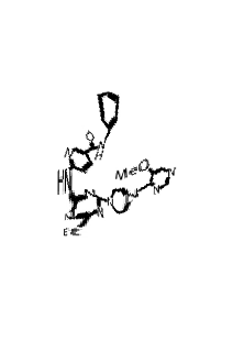 CCc1nc(Nc2ccc(C(=O)Nc3ccccc3)cn2)nc(N2CCN(c3ncncc3OC)CC2)n1